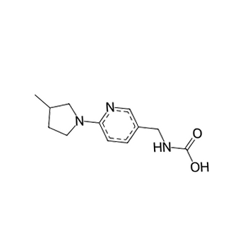 CC1CCN(c2ccc(CNC(=O)O)cn2)C1